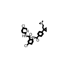 CN(C)CCC1(c2ccc(C(=O)Nc3ccc(Cl)cc3C(=O)Nc3ccc(Cl)cn3)cc2)CC1